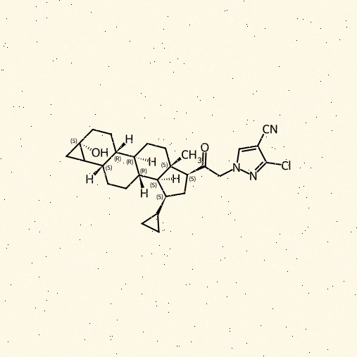 C[C@]12CC[C@H]3[C@@H](CC[C@@H]4C5C[C@@]5(O)CC[C@H]34)[C@@H]1[C@H](C1CC1)C[C@@H]2C(=O)Cn1cc(C#N)c(Cl)n1